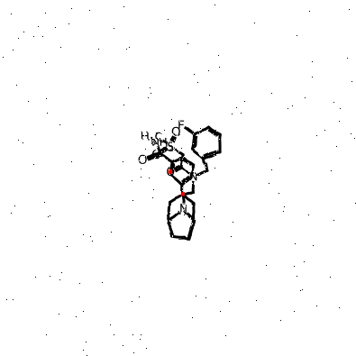 CS(=O)(=O)CC(=O)N(CCN1C2CCC1CC(c1cccc(C(N)=O)c1)C2)Cc1cccc(F)c1